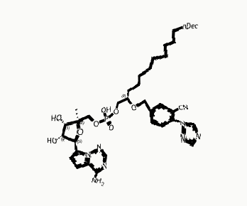 CCCCCCCCCCCCCCCCCCC[C@H](COP(=O)(O)OC[C@@]1(C)O[C@@H](c2ccc3c(N)ncnn23)[C@H](O)[C@@H]1O)OCc1ccc(-n2cncn2)c(C#N)c1